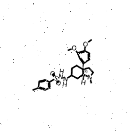 COc1ccc([C@]23CCC(NNS(=O)(=O)c4ccc(C)cc4)C[C@H]2N(C)CC3)cc1OC